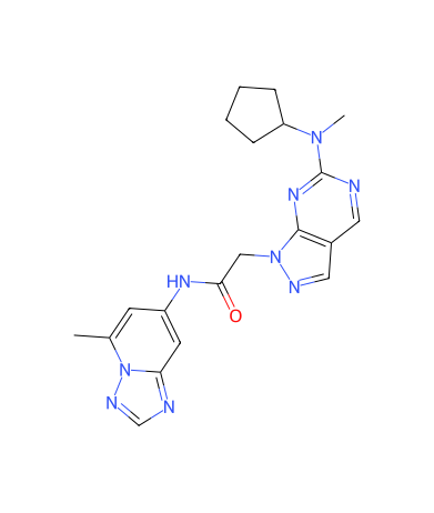 Cc1cc(NC(=O)Cn2ncc3cnc(N(C)C4CCCC4)nc32)cc2ncnn12